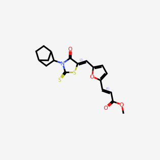 COC(=O)/C=C/c1ccc(/C=C2\SC(=S)N(C3CC4CCC3C4)C2=O)o1